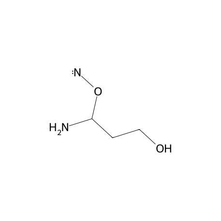 [N]OC(N)CCO